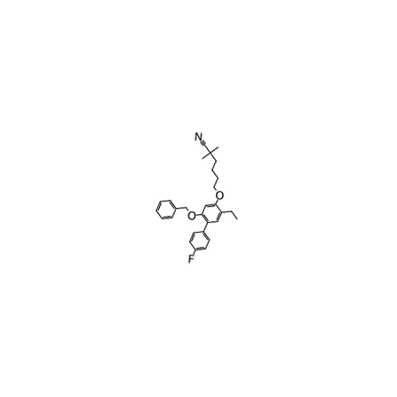 CCc1cc(-c2ccc(F)cc2)c(OCc2ccccc2)cc1OCCCCC(C)(C)C#N